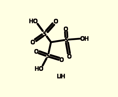 O=S(=O)(O)C(S(=O)(=O)O)S(=O)(=O)O.[LiH]